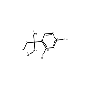 CCC(O)(CCl)c1ccc(F)cc1F